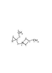 CCC1(CN2CC(C)C2)CC1